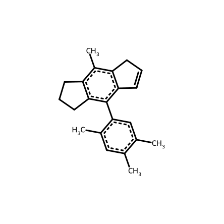 Cc1cc(C)c(-c2c3c(c(C)c4c2CCC4)CC=C3)cc1C